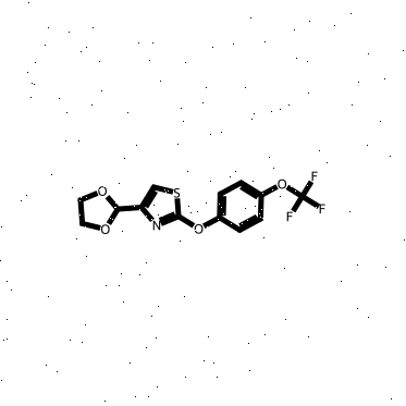 FC(F)(F)Oc1ccc(Oc2nc(C3OCCO3)cs2)cc1